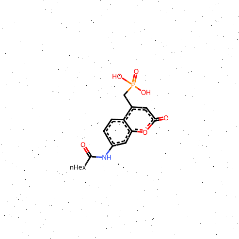 CCCCCCC(=O)Nc1ccc2c(CP(=O)(O)O)cc(=O)oc2c1